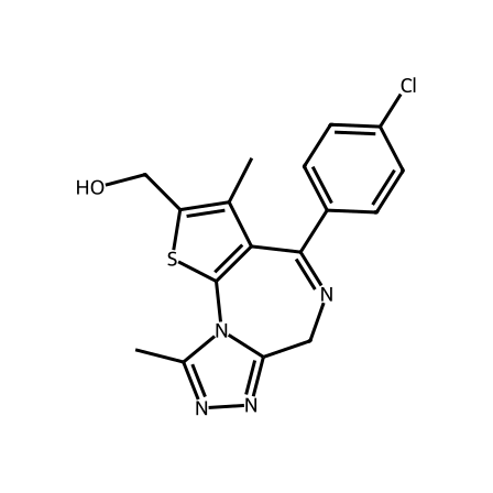 Cc1c(CO)sc2c1C(c1ccc(Cl)cc1)=NCc1nnc(C)n1-2